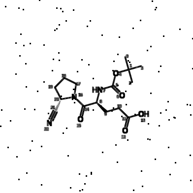 CC(C)(C)OC(=O)N[C@@H](CCC(=O)O)C(=O)N1CCC[C@H]1C#N